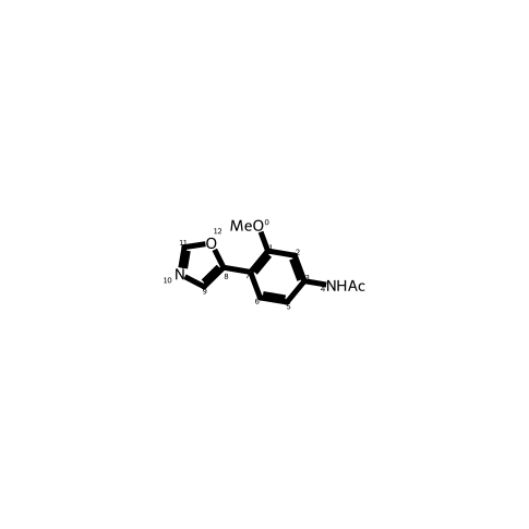 COc1cc(NC(C)=O)ccc1-c1cnco1